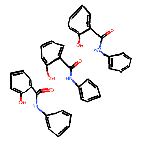 O=C(Nc1ccccc1)c1ccccc1O.O=C(Nc1ccccc1)c1ccccc1O.O=C(Nc1ccccc1)c1ccccc1O